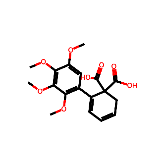 COc1cc(C2=CC=CCC2(C(=O)O)C(=O)O)c(OC)c(OC)c1OC